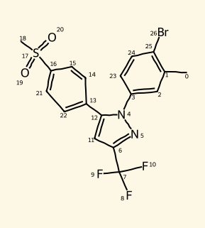 Cc1cc(-n2nc(C(F)(F)F)cc2-c2ccc(S(C)(=O)=O)cc2)ccc1Br